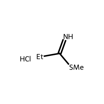 CCC(=N)SC.Cl